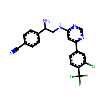 N#Cc1ccc(C(N)CNc2cc(-c3ccc(C(F)(F)F)c(Cl)c3)ncn2)cc1